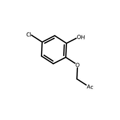 CC(=O)COc1ccc(Cl)cc1O